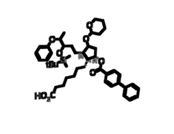 CC(Oc1ccccc1)C(CC[C@H]1C(OC2CCCCO2)C[C@H](OC(=O)c2ccc(-c3ccccc3)cc2)[C@@H]1CCCCCCC(=O)O)O[Si](C)(C)C(C)(C)C